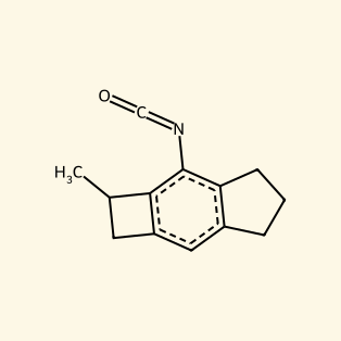 CC1Cc2cc3c(c(N=C=O)c21)CCC3